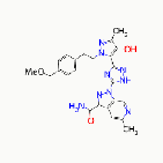 COCc1ccc(CCn2nc(C)c(O)c2-c2n[nH]c(-n3nc(C(N)=O)c4cc(C)ncc43)n2)cc1